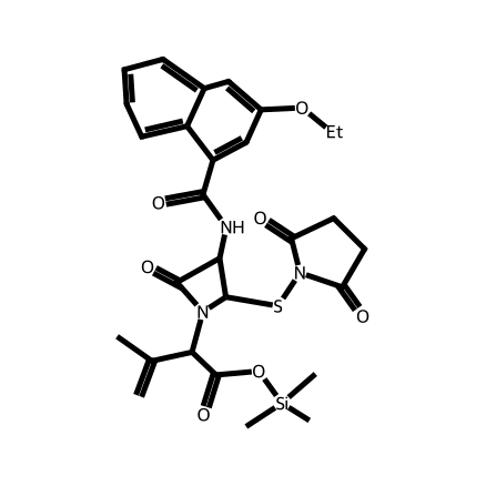 C=C(C)C(C(=O)O[Si](C)(C)C)N1C(=O)C(NC(=O)c2cc(OCC)cc3ccccc23)C1SN1C(=O)CCC1=O